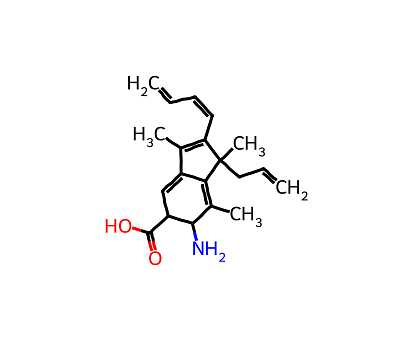 C=C/C=C\C1=C(C)C2=CC(C(=O)O)C(N)C(C)=C2C1(C)CC=C